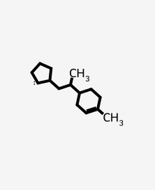 CC1=CCC(C(C)CC2[C]CCC2)CC1